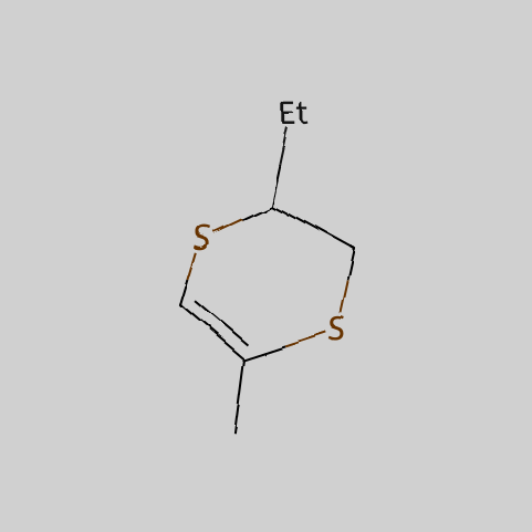 CCC1CSC(C)=CS1